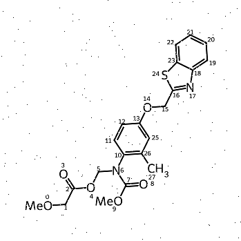 COCC(=O)OCN(C(=O)OC)c1ccc(OCc2nc3ccccc3s2)cc1C